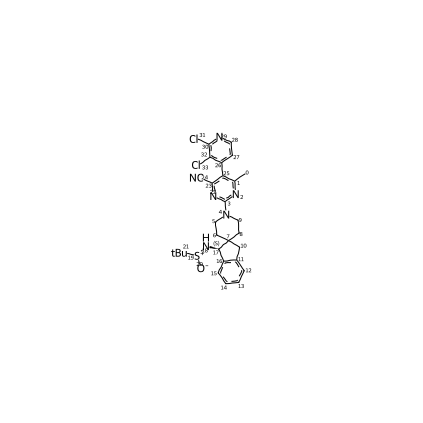 Cc1nc(N2CCC3(CC2)Cc2ccccc2[C@H]3N[S+]([O-])C(C)(C)C)nc(C#N)c1-c1ccnc(Cl)c1Cl